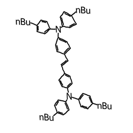 CCCCc1ccc(N(c2ccc(C=Cc3ccc(N(c4ccc(CCCC)cc4)c4ccc(CCCC)cc4)cc3)cc2)c2ccc(CCCC)cc2)cc1